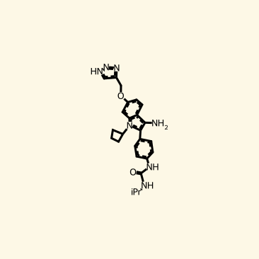 CC(C)NC(=O)Nc1ccc(-c2c(N)c3ccc(OCc4c[nH]nn4)cc3n2C2CCC2)cc1